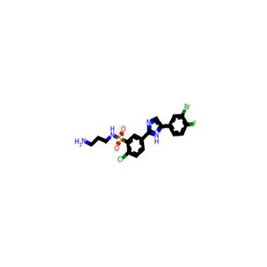 NCCCNS(=O)(=O)c1cc(-c2ncc(-c3ccc(F)c(Br)c3)[nH]2)ccc1Cl